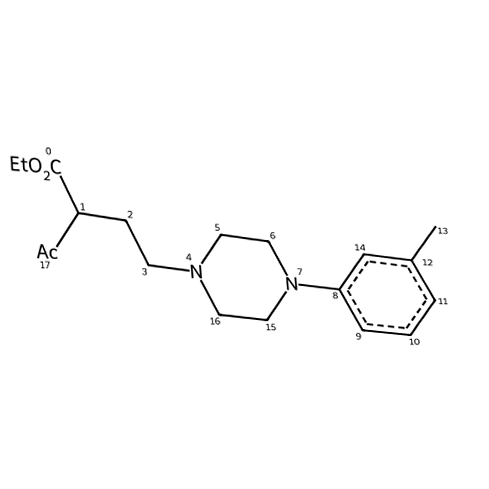 CCOC(=O)C(CCN1CCN(c2cccc(C)c2)CC1)C(C)=O